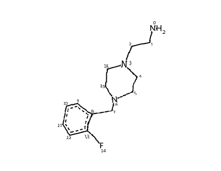 NCCN1CCN(Cc2ccccc2F)CC1